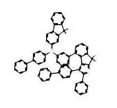 CC1(C)c2ccccc2-c2ccc(N(c3ccc(-c4ccccc4)cc3)c3cccc(-c4cccc5c4-c4c(oc(-c6ccccc6)c4-c4ccc(-c6ccccc6)cc4)C5(C)C)c3)cc21